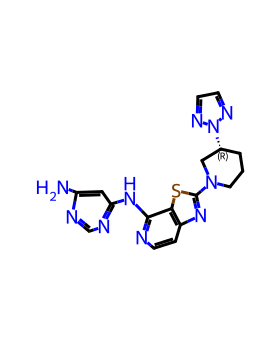 Nc1cc(Nc2nccc3nc(N4CCC[C@@H](n5nccn5)C4)sc23)ncn1